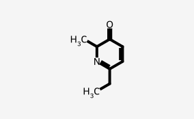 CCC1=NC(C)C(=O)C=C1